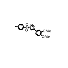 COc1ccc(-c2cn(S(=O)(=O)c3ccc(C)cc3)nn2)cc1OC